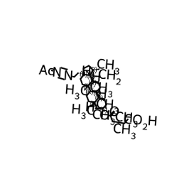 C=C(C)[C@@H]1CC[C@]2(CCN3CCN(C(C)=O)CC3)CC[C@]3(C)[C@H](CC[C@@H]4[C@@]5(C)CC[C@H](OC(=O)CC(C)(C)CC(=O)O)C(C)(C)[C@@H]5CC[C@]43C)[C@@H]12